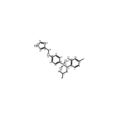 Cc1ccc(N(CC(C)C)S(=O)(=O)c2ccc(OCc3c[nH]cn3)cc2)c(C)c1